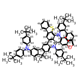 CC(C)(C)c1ccc(N2B3c4cc5occc5cc4N(c4ccc(C(C)(C)C)cc4-c4ccccc4)c4c3c(cc3c4sc4ccccc43)-c3cc4c(cc32)C(C)(C)c2ccc(N(c3ccc(C(C)(C)C)cc3)c3ccc(C(C)(C)C)cc3)cc2-4)cc1